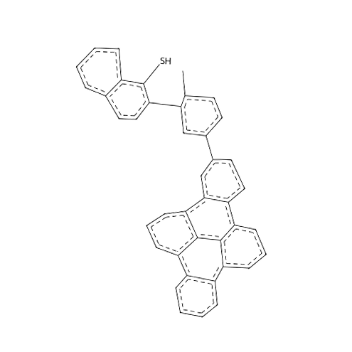 Cc1ccc(-c2ccc3c(c2)c2cccc4c5ccccc5c5cccc3c5c42)cc1-c1ccc2ccccc2c1S